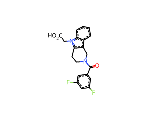 O=C(O)Cn1c2c(c3ccccc31)CN(C(=O)c1cc(F)cc(F)c1)CC2